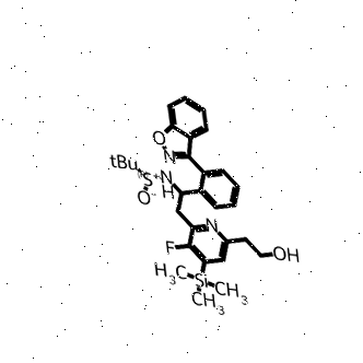 CC(C)(C)[S@+]([O-])NC(Cc1nc(CCO)cc([Si](C)(C)C)c1F)c1ccccc1-c1noc2ccccc12